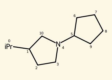 CC(C)C1CCN(C2CCCC2)C1